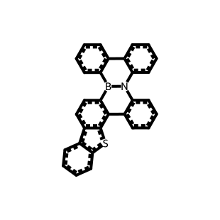 c1ccc2c(c1)B1c3ccc4c(sc5ccccc54)c3-c3ccccc3N1c1ccccc1-2